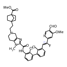 COC(=O)C12CCC(CCN3CCc4c(nc(C(=O)Nc5cccc(-c6cccc(/C=C(\F)c7cc(OC)c(C=O)cn7)c6Cl)c5Cl)n4C)C3)(CC1)C2